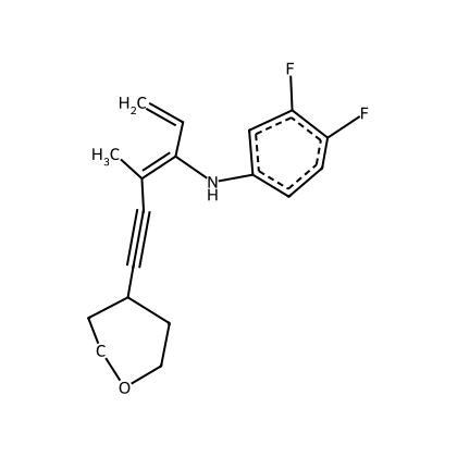 C=C/C(Nc1ccc(F)c(F)c1)=C(\C)C#CC1CCOCC1